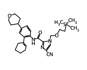 C[Si](C)(C)CCOCn1cc(C#N)nc1C(=O)Nc1ccc(C2CCOCC2)cc1C1=CCCCC1